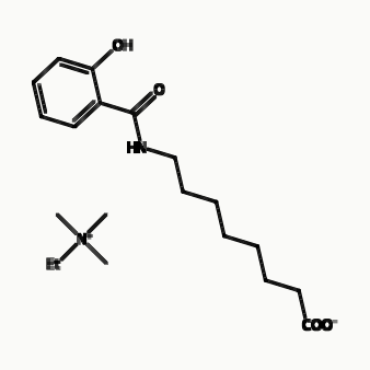 CC[N+](C)(C)C.O=C([O-])CCCCCCCNC(=O)c1ccccc1O